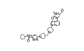 CNC(=O)N(CCC=O)c1cccc2c1ccn2C1CCN(CC2CCN(c3ccc(C(=O)NC4CCCCC4)nn3)CC2)CC1